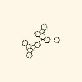 c1ccc(-c2ccc(N(c3ccc4c(c3)c3c5ccccc5n5c6ccccc6n4c35)c3cccc4c3oc3ccccc34)cc2)cc1